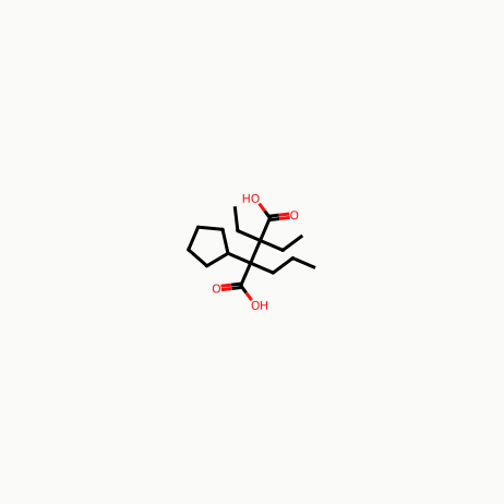 CCCC(C(=O)O)(C1CCCC1)C(CC)(CC)C(=O)O